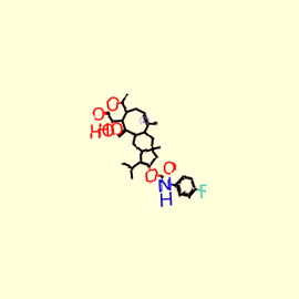 C=C1C2CC3C(C(C)C)C(OC(=O)Nc4ccc(F)cc4)CC3(C)CC2/C(C)=C\CC2C(C)OC(=O)C(O)C12O